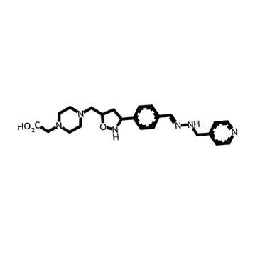 O=C(O)CN1CCN(CC2CC(c3ccc(C=NNCc4ccncc4)cc3)NO2)CC1